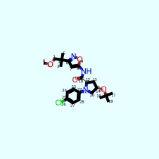 COCC(C)(C)c1cc(NC(=O)[C@@H]2C[C@@H](OC(C)(C)C)CN2c2ccc(Cl)cc2)on1